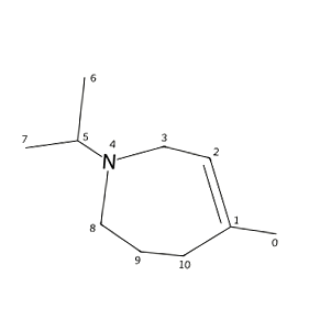 CC1=CCN(C(C)C)CCC1